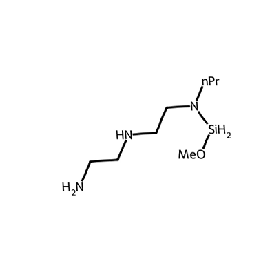 CCCN(CCNCCN)[SiH2]OC